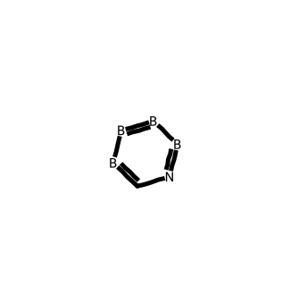 b1bbncb1